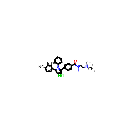 CN(C)CCNC(=O)c1ccc(-c2ccc(-c3ccc(C#N)cc3)n2-c2ccccc2C(F)(F)F)cc1.Cl